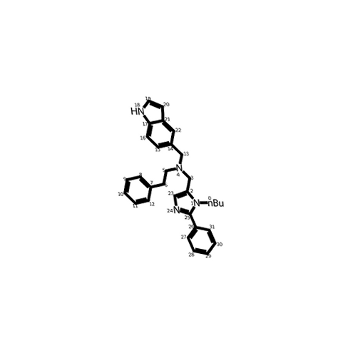 CCCCn1c(CN(CCc2ccccc2)Cc2ccc3[nH]ccc3c2)cnc1-c1ccccc1